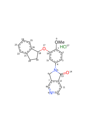 COc1ccc(N2Cc3cnccc3C2=O)cc1OC1CCc2ccccc21.Cl